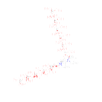 CCCCN(CCCC)CCCC.CCCCN(CCCC)CCCC.OB(O)O.OB(O)O.OB(O)O.OB(O)O.OB(O)O.OB(O)O.OB(O)O.OB(O)O.OB(O)O.OB(O)O.OB(O)O